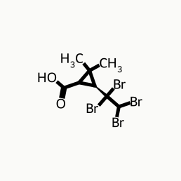 CC1(C)C(C(=O)O)[C@@H]1C(Br)(Br)C(Br)Br